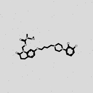 CPN(C)C(=O)OCN1C(=O)CCc2ccc(OCCCCN3CCN(c4cccc(Cl)c4Cl)CC3)cc21